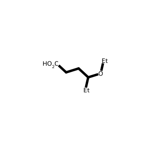 CCOC(CC)CCC(=O)O